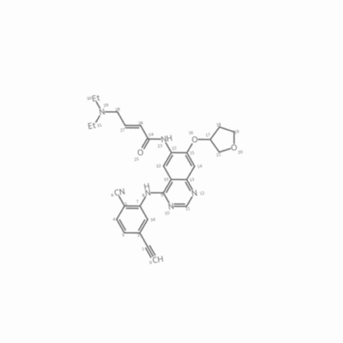 C#Cc1ccc(C#N)c(Nc2ncnc3cc(OC4CCOC4)c(NC(=O)C=CCN(CC)CC)cc23)c1